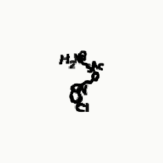 CC(=O)C(SCCC(N)=O)c1cccc(C=Cc2ccc3ccc(Cl)cc3n2)c1